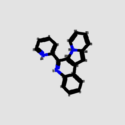 c1ccc(-c2nc3ccccc3c3cc4ccccn4c23)nc1